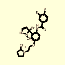 CC1CCCN1CCOc1ccc(NC(=O)c2ccc(F)c(F)c2)c(C2(Br)C=CNN2C)c1